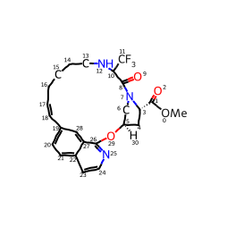 COC(=O)[C@@H]1C[C@@H]2CN1C(=O)C(C(F)(F)F)NCCCCC=Cc1ccc3ccnc(c3c1)O2